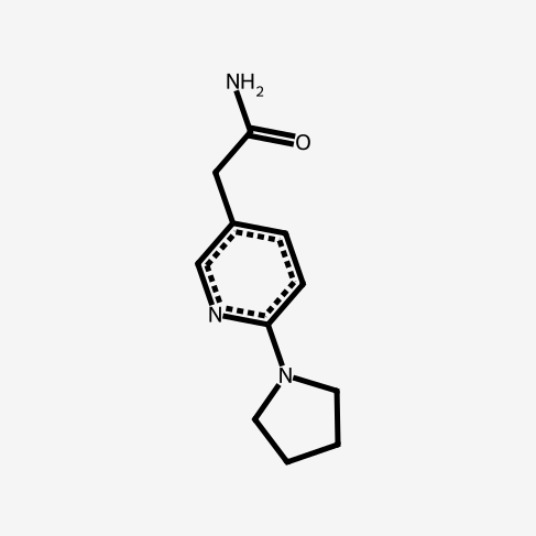 NC(=O)Cc1ccc(N2CCCC2)nc1